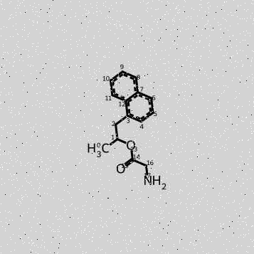 CC(Cc1cccc2ccccc12)OC(=O)CN